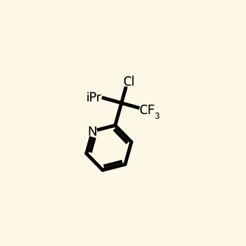 CC(C)C(Cl)(c1ccccn1)C(F)(F)F